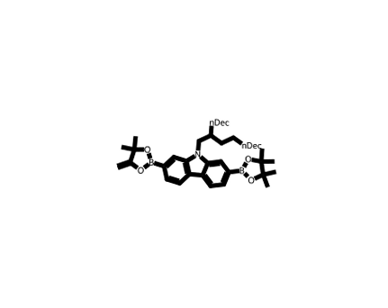 C=C1OB(c2ccc3c4ccc(B5OC(C)(C)C(C)(C)O5)cc4n(CC(CCCCCCCCCC)CCCCCCCCCCCC)c3c2)OC1(C)C